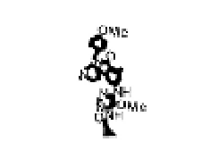 COc1ccc(CN2C(=O)c3c(C)cc(Nc4ncnc(NC(=O)C5CC5)c4OC)cc3C23CCN(C)CC3)cc1